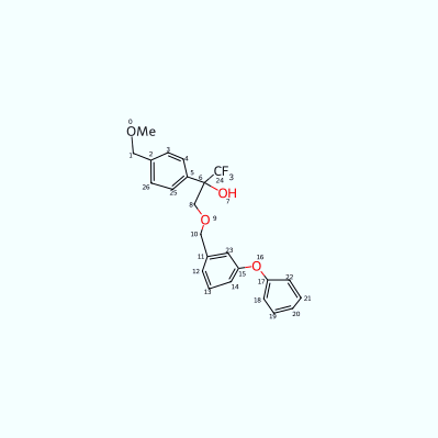 COCc1ccc(C(O)(COCc2cccc(Oc3ccccc3)c2)C(F)(F)F)cc1